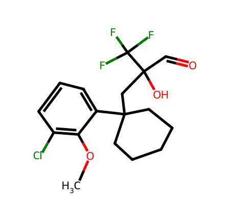 COc1c(Cl)cccc1C1(CC(O)(C=O)C(F)(F)F)CCCCC1